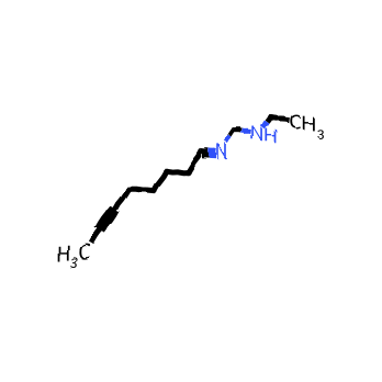 CC#CCCCC/C=N/CNCC